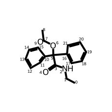 CCNC(=O)C(OC(C)=O)(c1ccccc1)c1ccccc1